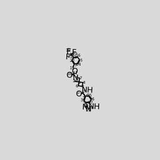 O=C(NC1CC2(C1)CN(C(=O)OCc1cccc(C(F)(F)F)c1)C2)c1ccc2[nH]nnc2c1